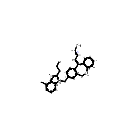 CCCc1nc2c(C)cccc2n1Cc1ccc2c(c1)COc1ccccc1C2=C/C=N/O